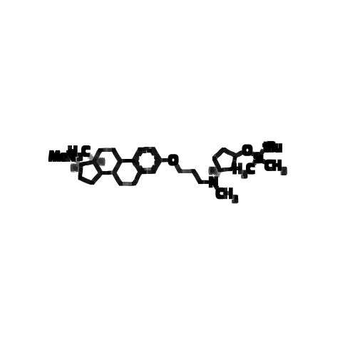 CN[C@H]1CCC2C3CCc4cc(OCCCN(C)[C@@H]5CCC(O[Si](C)(C)C(C)(C)C)C5)ccc4C3CC[C@@]21C